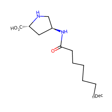 CCCCCCCCCCCCCCCC(=O)N[C@@H]1CN[C@@H](C(=O)O)C1